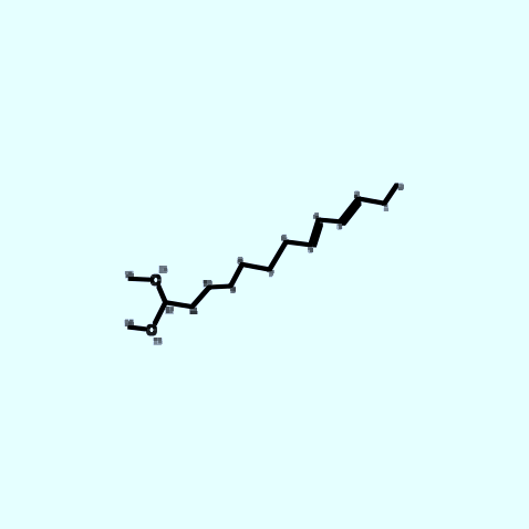 CCC=CC=CCCCCCCC(OC)OC